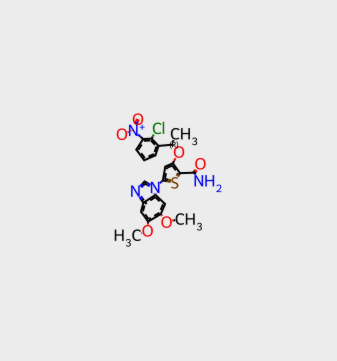 COc1cc2ncn(-c3cc(O[C@H](C)c4cccc([N+](=O)[O-])c4Cl)c(C(N)=O)s3)c2cc1OC